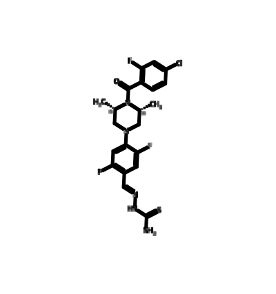 C[C@@H]1CN(c2cc(F)c(C=NNC(N)=S)cc2F)C[C@H](C)N1C(=O)c1ccc(Cl)cc1F